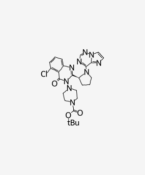 CC(C)(C)OC(=O)N1CCN(n2c([C@@H]3CCCN3c3ncnn4ccnc34)nc3cccc(Cl)c3c2=O)CC1